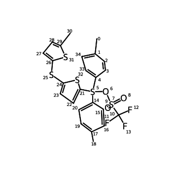 Cc1ccc(S(OS(=O)(=O)C(F)(F)F)(c2ccc(C)cc2)c2ccc(Sc3ccc(C)s3)s2)cc1